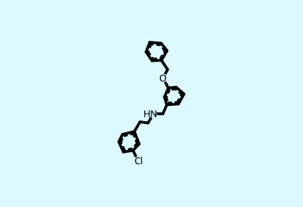 Clc1cccc(CCNCc2cccc(OCc3ccccc3)c2)c1